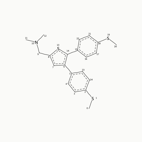 CSc1ccc(-c2cc(CN(C)C)sc2-c2ccc(SC)cc2)cc1